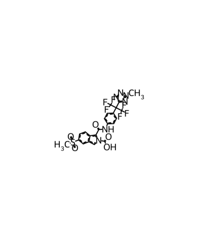 Cn1nnc(C(c2ccc(NC(=O)c3c4ccc(S(C)(=O)=O)cc4cn3C(=O)O)cc2)(C(F)(F)F)C(F)(F)F)n1